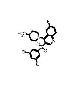 CC1CCN(c2c(S(=O)(=O)c3cc(Cl)cc(Cl)c3)cnc3ccc(F)cc23)CC1